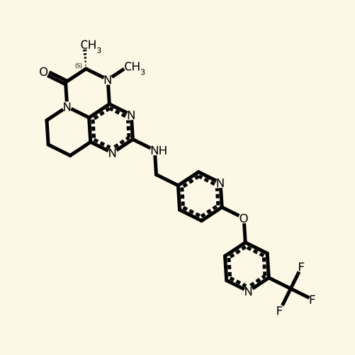 C[C@H]1C(=O)N2CCCc3nc(NCc4ccc(Oc5ccnc(C(F)(F)F)c5)nc4)nc(c32)N1C